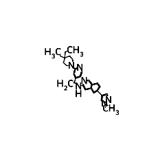 C=C(Nc1cc2cc(-c3cnn(C)c3)ccc2cn1)c1ccnc(N2CCC(CC)(CC)CC2)c1